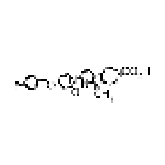 Cn1c2c(c3ccc(-n4ccc(OCc5ccc(F)cc5)cc4=O)nc31)CCN(C(=O)O)CC2